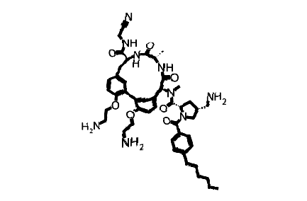 CCCCCCc1ccc(C(=O)N2C[C@@H](CN)C[C@H]2C(=O)N(C)[C@@H]2C(=O)N[C@@H](C)C(=O)N[C@H](C(=O)NCC#N)Cc3ccc(OCCN)c(c3)-c3cc2ccc3OCCN)cc1